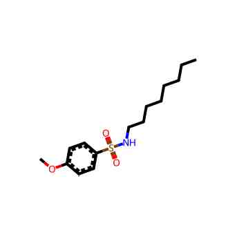 CCCCCCCCNS(=O)(=O)c1c[c]c(OC)cc1